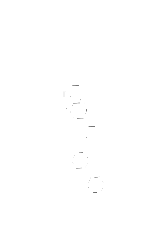 O=C(CCC(O)O)Nc1ncc(C(=O)NCc2ccc(F)c(-c3ccccc3)c2)c(O)n1